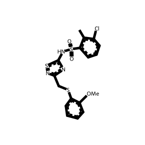 COc1ccccc1SCc1nsc(NS(=O)(=O)c2cccc(Cl)c2C)n1